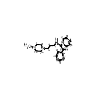 CN1CCN(CCCNc2c(-c3ccncn3)nc3cnccn23)CC1